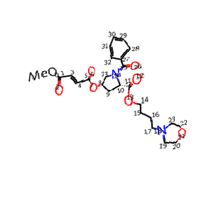 COC(=O)/C=C/C(=O)O[C@@H]1C[C@@H](C(=O)OCCCCN2CCOCC2)N(C(=O)c2ccccc2)C1